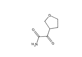 NC(=O)C(=O)C1CCOC1